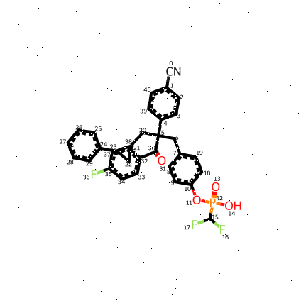 N#Cc1ccc(C(Cc2ccc(OP(=O)(O)C(F)F)cc2)(CC2CC2c2ccccc2)C(=O)c2ccc(F)cc2)cc1